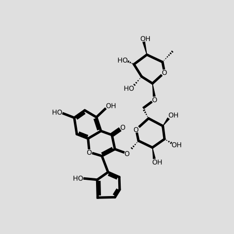 C[C@@H]1O[C@@H](OC[C@H]2O[C@@H](Oc3c(-c4ccccc4O)oc4cc(O)cc(O)c4c3=O)[C@H](O)[C@@H](O)[C@@H]2O)[C@H](O)[C@H](O)[C@H]1O